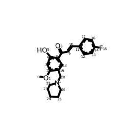 COc1cc(O)c(C(=O)/C=C/c2ccc(F)cc2)cc1CN1CCCCC1